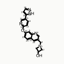 OC1CN(Cc2cnc3cc(Oc4ccc(-c5ccn[nH]5)cn4)ccc3c2)C1